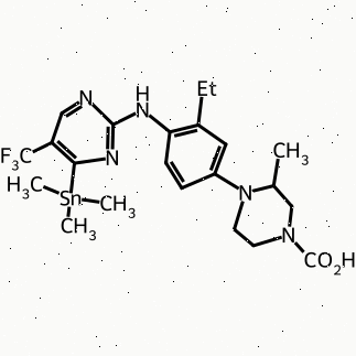 CCc1cc(N2CCN(C(=O)O)CC2C)ccc1Nc1ncc(C(F)(F)F)[c]([Sn]([CH3])([CH3])[CH3])n1